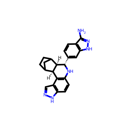 Nc1n[nH]c2cc([C@@H]3Nc4ccc5[nH]ncc5c4[C@H]4C5CCC(C5)[C@@H]34)ccc12